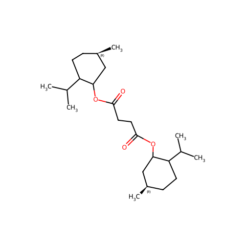 CC(C)C1CC[C@@H](C)CC1OC(=O)CCC(=O)OC1C[C@H](C)CCC1C(C)C